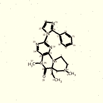 CC[C@]12CN(C)CCN1c1nc(-n3ccnc3-c3ccccc3)ncc1N(C)C2=O